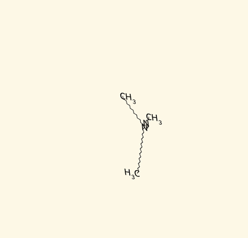 CCCCCCCCCCCCCCCCCCCN1C=CN(CCC)C1CCCCCCCCCCCC